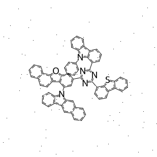 c1ccc(-n2c3ccccc3c3cccc(-c4nc(-c5cc(-n6c7ccccc7c7cc8ccccc8cc76)c6c(c5)oc5c7ccccc7ccc56)nc(-c5cccc6c5sc5ccccc56)n4)c32)cc1